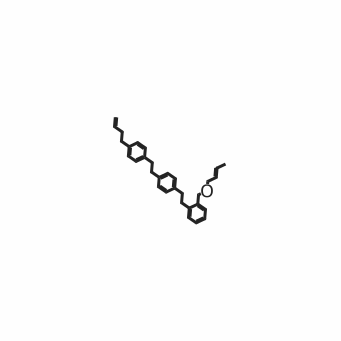 C=CCCc1ccc(CCc2ccc(CCc3ccccc3COC/C=C/C)cc2)cc1